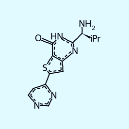 CC(C)[C@H](N)c1nc2cc(-c3ccncn3)sc2c(=O)[nH]1